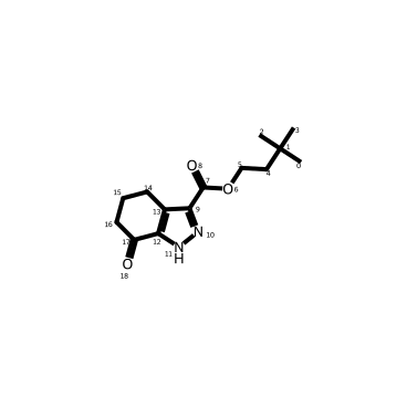 CC(C)(C)CCOC(=O)c1n[nH]c2c1CCCC2=O